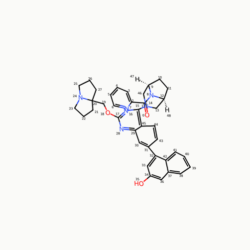 O=C(c1ccccn1)N1[C@@H]2CC[C@H]1CN(c1nc(OCC34CCCN3CCC4)nc3cc(-c4cc(O)cc5ccccc45)ccc13)C2